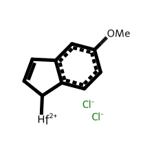 COc1ccc2c(c1)C=C[CH]2[Hf+2].[Cl-].[Cl-]